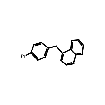 CC(C)c1ccc(Cc2cc[c]c3ccccc23)cc1